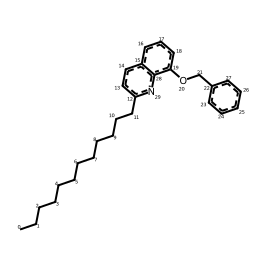 CCCCCCCCCCCCc1ccc2cccc(OCc3ccccc3)c2n1